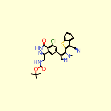 Cn1ncc(-c2cc(Cl)c3c(=O)[nH]nc(CNC(=O)OC(C)(C)C)c3c2)c1-c1sc2ccccc2c1C#N